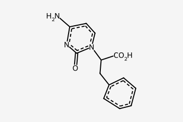 Nc1ccn(C(Cc2ccccc2)C(=O)O)c(=O)n1